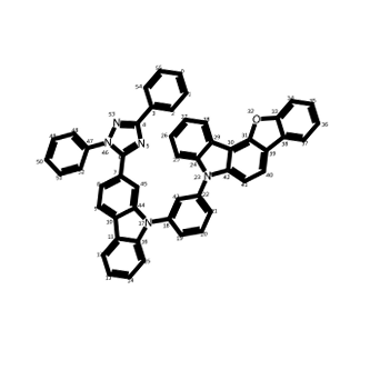 c1ccc(-c2nc(-c3ccc4c5ccccc5n(-c5cccc(-n6c7ccccc7c7c8oc9ccccc9c8ccc76)c5)c4c3)n(-c3ccccc3)n2)cc1